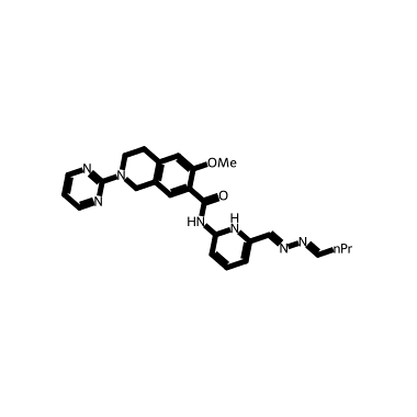 CCC/C=N/N=C/C1=CC=CC(NC(=O)c2cc3c(cc2OC)CCN(c2ncccn2)C3)N1